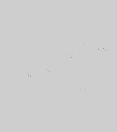 COC(=O)c1ccc(O)cc1NC(C)CN1CCN(c2ccccc2)CC1